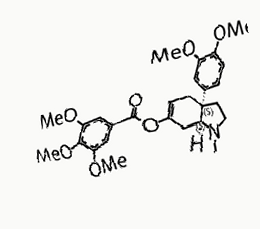 COc1ccc([C@@]23CC=C(OC(=O)c4cc(OC)c(OC)c(OC)c4)C[C@@H]2N(C)CC3)cc1OC